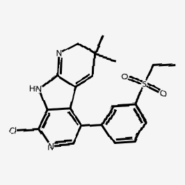 CCS(=O)(=O)c1cccc(-c2cnc(Cl)c3[nH]c4c(c23)=CC(C)(C)CN=4)c1